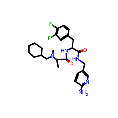 CC(C(=O)N[C@@H](Cc1ccc(F)c(F)c1)C(=O)NCc1ccc(N)nc1)N(C)CC1CCCCC1